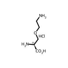 Cl.NCCOC[C@H](N)C(=O)O